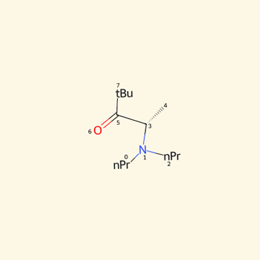 CCCN(CCC)[C@@H](C)C(=O)C(C)(C)C